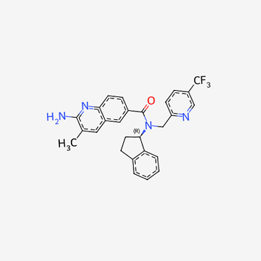 Cc1cc2cc(C(=O)N(Cc3ccc(C(F)(F)F)cn3)[C@@H]3CCc4ccccc43)ccc2nc1N